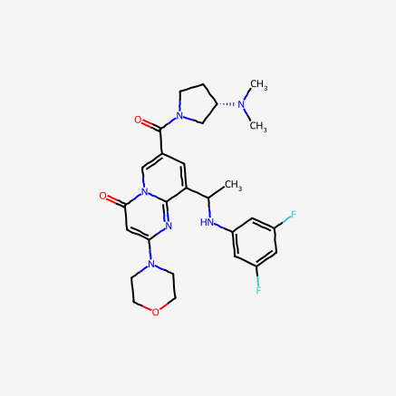 CC(Nc1cc(F)cc(F)c1)c1cc(C(=O)N2CC[C@H](N(C)C)C2)cn2c(=O)cc(N3CCOCC3)nc12